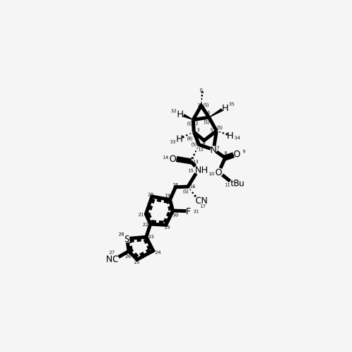 C[C@H]1[C@H]2[C@H]3C[C@@H]([C@@H]12)N(C(=O)OC(C)(C)C)[C@@H]3C(=O)N[C@H](C#N)Cc1ccc(-c2ccc(C#N)s2)cc1F